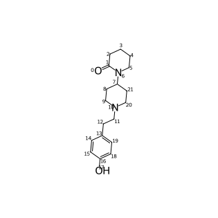 O=C1CCCCN1C1CCN(CCc2ccc(O)cc2)CC1